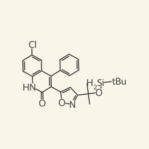 CC(C)(C)[SiH2]OC(C)(C)c1cc(-c2c(-c3ccccc3)c3cc(Cl)ccc3[nH]c2=O)on1